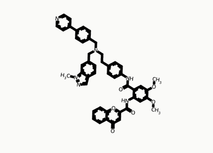 COc1cc(NC(=O)c2cc(=O)c3ccccc3o2)c(C(=O)Nc2ccc(CCN(Cc3ccc(-c4ccncc4)cc3)Cc3ccc4cnn(C)c4c3)cc2)cc1OC